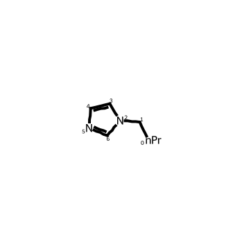 [CH2]CCCn1ccnc1